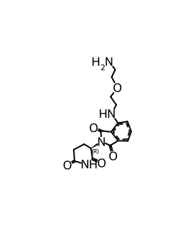 NCCOCCNc1cccc2c1C(=O)N([C@@H]1CCC(=O)NC1=O)C2=O